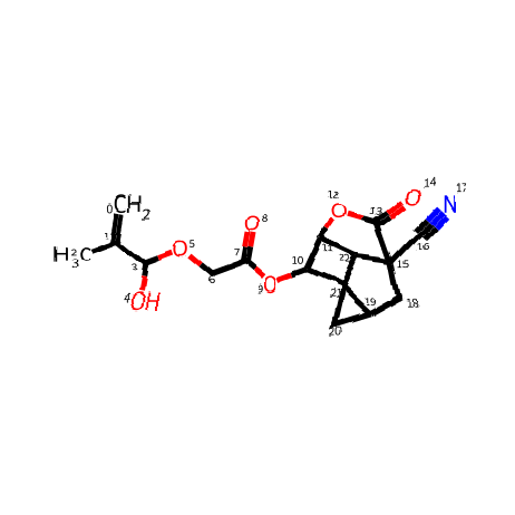 C=C(C)C(O)OCC(=O)OC1C2OC(=O)C3(C#N)CC4CC41C23